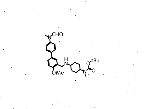 COc1ccc(-c2ccc(N(C)C=O)cc2)cc1CNC1CCC(N(C)C(=O)OC(C)(C)C)CC1